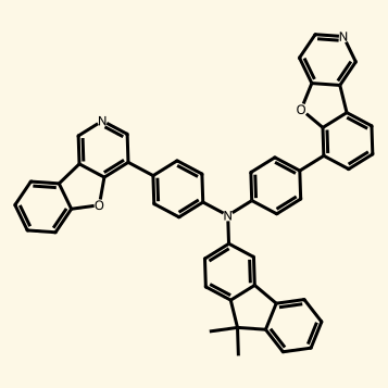 CC1(C)c2ccccc2-c2cc(N(c3ccc(-c4cccc5c4oc4ccncc45)cc3)c3ccc(-c4cncc5c4oc4ccccc45)cc3)ccc21